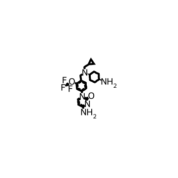 Nc1ccn(-c2ccc(CN(CC3CC3)[C@H]3CC[C@H](N)CC3)c(OC(F)(F)F)c2)c(=O)n1